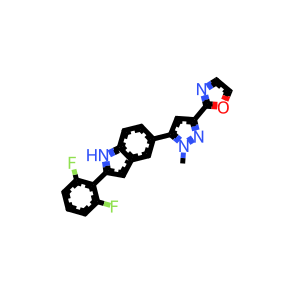 Cn1nc(-c2ncco2)cc1-c1ccc2[nH]c(-c3c(F)cccc3F)cc2c1